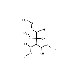 O=S(=O)(O)OOC(O)C(O)(OS(=O)(=O)O)C(C(O)OS(=O)(=O)O)C(O)OS(=O)(=O)O